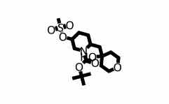 CC(C)(C)OC(=O)N1CC(OS(C)(=O)=O)CCC1CC1(O)CCOCC1